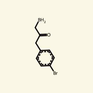 BCC(=O)Cc1ccc(Br)cc1